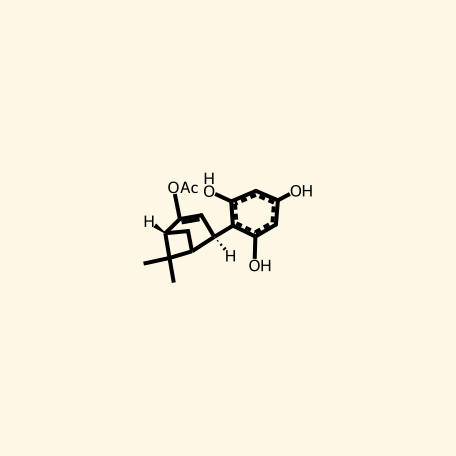 CC(=O)OC1=C[C@@H](c2c(O)cc(O)cc2O)C2C[C@@H]1C2(C)C